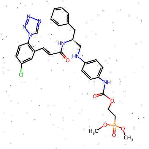 COP(=O)(CCOC(=O)Nc1ccc(NC[C@H](Cc2ccccc2)NC(=O)/C=C/c2cc(Cl)ccc2-n2cnnn2)cc1)OC